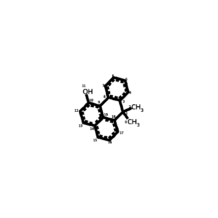 CC1(C)c2ccccc2-c2c(O)ccc3cccc1c23